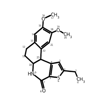 CCc1cc2c(s1)C(=O)NC1CCc3cc(OC)c(OC)cc3C21